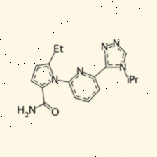 CCc1ccc(C(N)=O)n1-c1cccc(-c2nncn2C(C)C)n1